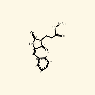 CCCCOC(=O)CCN1C(=O)NC(=Cc2ccccc2)C1=O